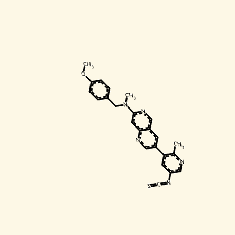 COc1ccc(CN(C)c2cc3ncc(-c4cc(N=C=S)cnc4C)cc3cn2)cc1